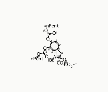 CCCCCOC(=O)Oc1ccc(C[C@](NC(C)CC)(OC(=O)OCC)C(=O)O)cc1OC(=O)OCCCCC